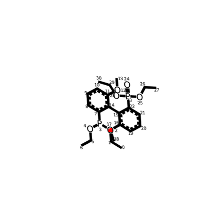 CCOP(OCC)c1cccc(OC)c1-c1c(OC)cccc1P(=O)(OCC)OCC